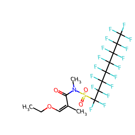 CCOC=C(C)C(=O)N(C)S(=O)(=O)C(F)(F)C(F)(F)C(F)(F)C(F)(F)C(F)(F)C(F)(F)C(F)(F)C(F)(F)F